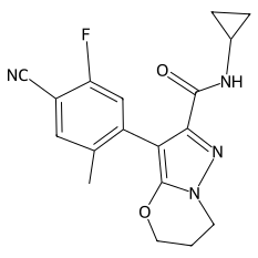 Cc1cc(C#N)c(F)cc1-c1c(C(=O)NC2CC2)nn2c1OCCC2